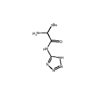 CCCCC(N)C(=O)Nc1nnn[nH]1